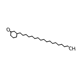 CCCCCCCCCCCCCCCCCCC1CCCC(=O)C1